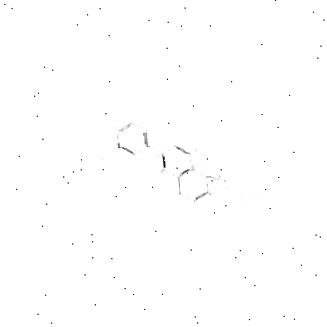 O=C[C@]1(NC(=O)O)C=CCc2cc(-c3cccc(F)c3)ccc21